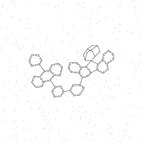 c1ccc(-c2c3ccccc3c(-c3cccc(-c4cccc(-c5cc6c(c7ccccc57)C5(c7c-6ccc6ccccc76)C6CC7CC(C6)CC5C7)c4)c3)c3ccccc23)cc1